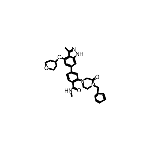 CNC(=O)c1ccc(-c2cc(OC3CCOCC3)c3c(C)n[nH]c3c2)cc1N1CCN(Cc2ccccc2)C(=O)C1